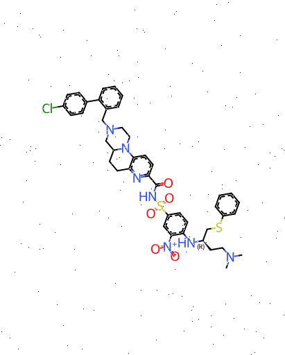 CN(C)CC[C@H](CSc1ccccc1)Nc1ccc(S(=O)(=O)NC(=O)c2ccc3c(n2)CCC2CN(Cc4ccccc4-c4ccc(Cl)cc4)CCN32)cc1[N+](=O)[O-]